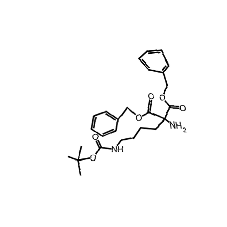 CC(C)(C)OC(=O)NCCCCC(N)(C(=O)OCc1ccccc1)C(=O)OCc1ccccc1